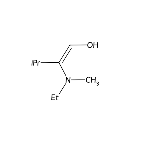 CCN(C)/C(=C\O)C(C)C